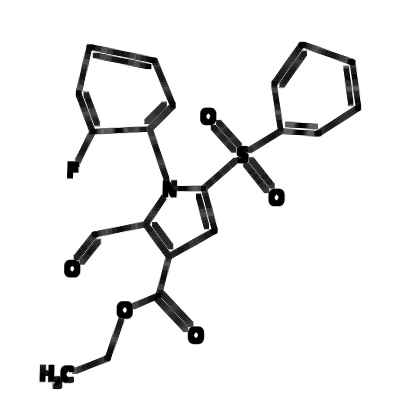 CCOC(=O)c1cc(S(=O)(=O)c2ccccc2)n(-c2ccccc2F)c1C=O